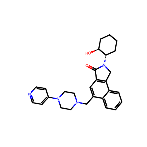 O=C1c2cc(CN3CCN(c4ccncc4)CC3)c3ccccc3c2CN1[C@H]1CCCC[C@@H]1O